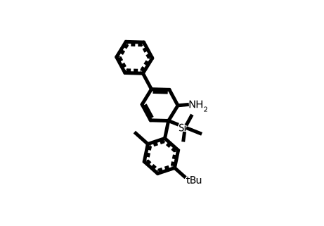 Cc1ccc(C(C)(C)C)cc1C1([Si](C)(C)C)C=CC(c2ccccc2)=CC1N